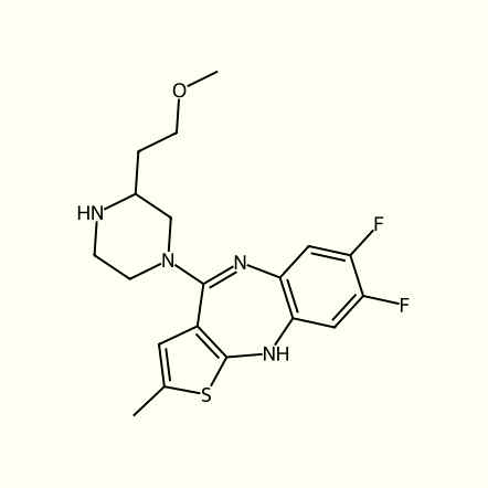 COCCC1CN(C2=Nc3cc(F)c(F)cc3Nc3sc(C)cc32)CCN1